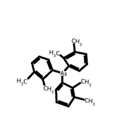 Cc1cccc([As](c2cccc(C)c2C)c2cccc(C)c2C)c1C